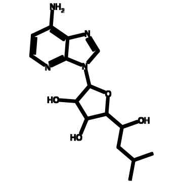 CC(C)CC(O)C1OC(n2cnc3c(N)ccnc32)C(O)C1O